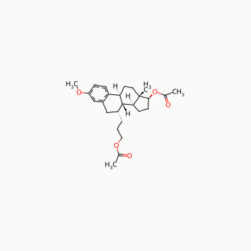 COc1ccc2c(c1)C[C@@H](CCCOC(C)=O)[C@@H]1[C@@H]2CC[C@]2(C)[C@@H](OC(C)=O)CC[C@@H]12